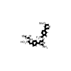 COc1cncc(-c2ccc(C(Oc3cc(-c4ccc(CC(NC(=O)OC(C)(C)C)C(=O)O)cc4)nc(N)n3)C(F)(F)F)c(F)c2)c1